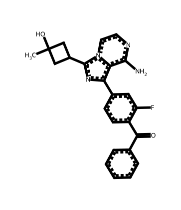 CC1(O)CC(c2nc(-c3ccc(C(=O)c4ccccc4)c(F)c3)c3c(N)nccn23)C1